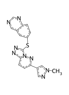 Cn1cc(-c2ccc3nnc(Sc4ccc5ncncc5c4)n3n2)cn1